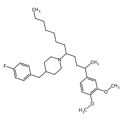 CCCCCCCC(CCC(C)c1ccc(OC)c(OC)c1)N1CCC(Cc2ccc(F)cc2)CC1